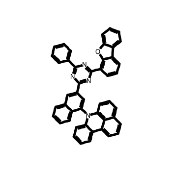 c1ccc(-c2nc(-c3cc(N4c5ccccc5-c5cccc6cccc4c56)c4ccccc4c3)nc(-c3cccc4c3oc3ccccc34)n2)cc1